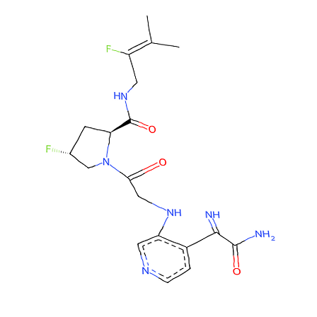 CC(C)=C(F)CNC(=O)[C@@H]1C[C@@H](F)CN1C(=O)CNc1cnccc1C(=N)C(N)=O